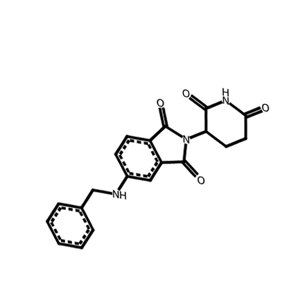 O=C1CCC(N2C(=O)c3ccc(NCc4ccccc4)cc3C2=O)C(=O)N1